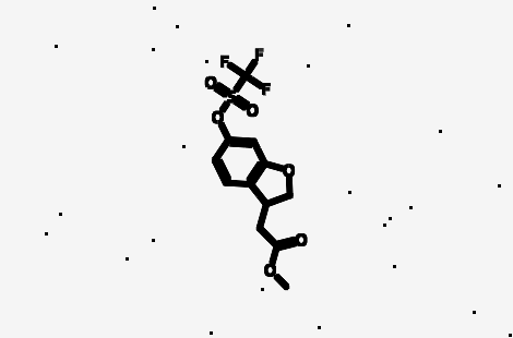 COC(=O)CC1COc2cc(OS(=O)(=O)C(F)(F)F)ccc21